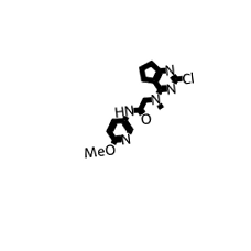 COc1ccc(NC(=O)CN(C)c2nc(Cl)nc3c2CCC3)cn1